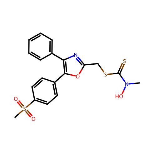 CN(O)C(=S)SCc1nc(-c2ccccc2)c(-c2ccc(S(C)(=O)=O)cc2)o1